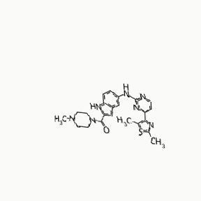 Cc1nc(-c2ccnc(Nc3ccc4[nH]c(C(=O)N5CCN(C)CC5)cc4c3)n2)c(C)s1